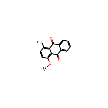 COc1ccc(C)c2c1C(=O)c1ccccc1C2=O